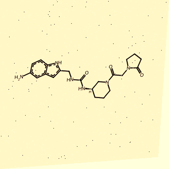 Nc1ccc2[nH]c(CNC(=O)N[C@@H]3CCCN(C(=O)CN4CCCC4=O)C3)cc2c1